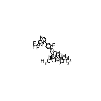 CC(C)CC(C)(COc1ccc(-c2ccnc3cc(C(F)(F)F)nn23)cc1F)NC(=O)OC(C)(C)C